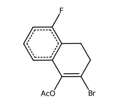 CC(=O)OC1=C(Br)CCc2c(F)cccc21